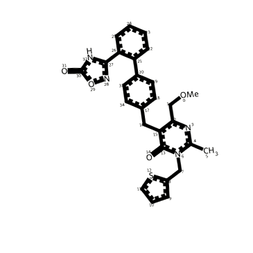 COCc1nc(C)n(Cc2cccs2)c(=O)c1Cc1ccc(-c2ccccc2-c2noc(=O)[nH]2)cc1